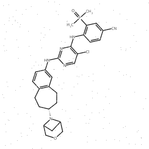 CP(C)(=O)c1cc(C#N)ccc1Nc1nc(Nc2ccc3c(c2)CC[C@H](N2C4COCC2C4)CC3)ncc1Cl